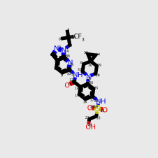 CC(C)(Cn1ncc2ccc(NC(=O)c3ccc(NS(=O)(=O)CCO)cc3N3CCC4(CC3)CC4)nc21)C(F)(F)F